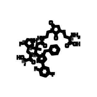 C[C@H](O)C(=O)N(C[C@@H]1CNC[C@@H]1F)[C@@H](c1nc(-c2cc(F)ccc2F)cn1Cc1ccccc1)C(C)(C)CC(=O)NCCN1C(=O)CC(SC[C@H](N)C(=O)O)C1=O